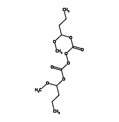 CCCC(OC)OC(=O)OOC(=O)OC(CCC)OC